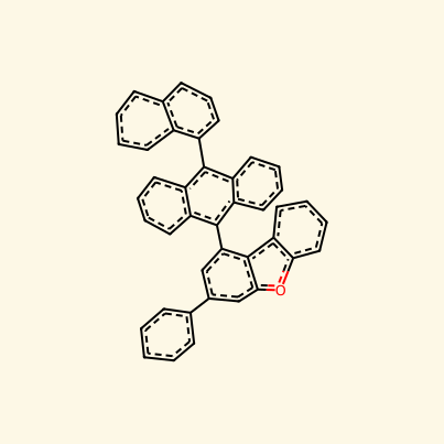 c1ccc(-c2cc(-c3c4ccccc4c(-c4cccc5ccccc45)c4ccccc34)c3c(c2)oc2ccccc23)cc1